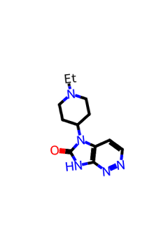 CCN1CCC(n2c(=O)[nH]c3nnccc32)CC1